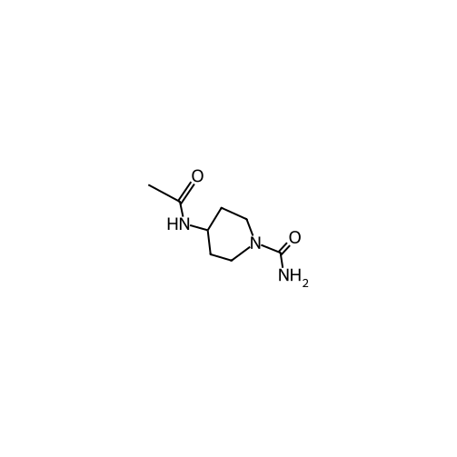 CC(=O)NC1CCN(C(N)=O)CC1